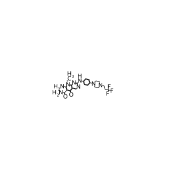 CCn1c(N)c(C(N)=O)c(=O)c2cnc(Nc3ccc(N4CCN(CCC(F)(F)F)CC4)cc3)nc21